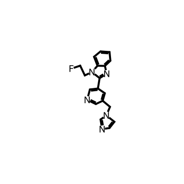 FCCn1c(-c2cncc(Cn3ccnc3)c2)nc2ccccc21